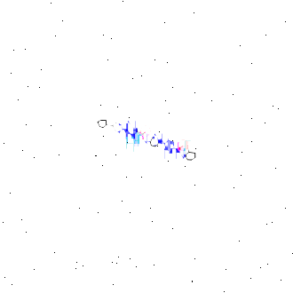 O=C(Nc1ccc(N2CCN(C(=O)Nc3ccccc3F)CC2)nc1)c1cnc(N2CCC(c3ccccc3)CC2)nc1C(F)(F)F